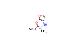 COC(=O)[C@@H](C)Nc1ccoc1